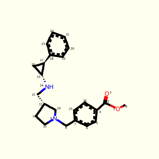 COC(=O)c1ccc(CN2CC[C@H](CN[C@@H]3C[C@H]3c3ccccc3)C2)cc1